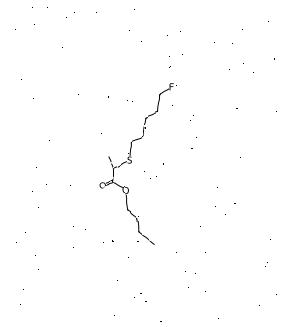 CCCCOC(=O)C(C)SCCCCCF